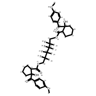 COc1ccc(C(=O)C2(O)CCCCC2C(=O)OCC(F)(F)C(F)(F)C(F)(F)C(F)(F)COC(=O)C2CCCCC2(O)C(=O)c2ccc(OC)cc2)cc1